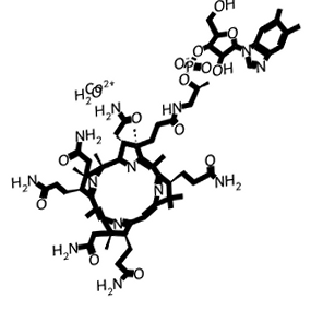 C/C1=C2/[N-]C([C@H](CC(N)=O)[C@@]2(C)CCC(=O)NC[C@H](C)OP(=O)([O-])OC2C(CO)OC(n3cnc4cc(C)c(C)cc43)C2O)[C@]2(C)N=C(/C(C)=C3N=C(/C=C4N=C1[C@@H](CCC(N)=O)C\4(C)C)[C@@H](CCC(N)=O)[C@]\3(C)CC(N)=O)[C@@H](CCC(N)=O)[C@]2(C)CC(N)=O.O.[Co+2]